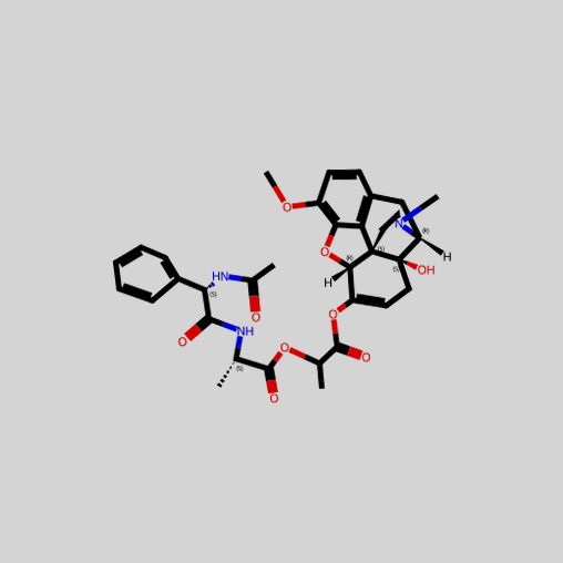 COc1ccc2c3c1O[C@H]1C(OC(=O)C(C)OC(=O)[C@H](C)NC(=O)[C@@H](NC(C)=O)c4ccccc4)=CC[C@@]4(O)[C@@H](C2)N(C)CC[C@]314